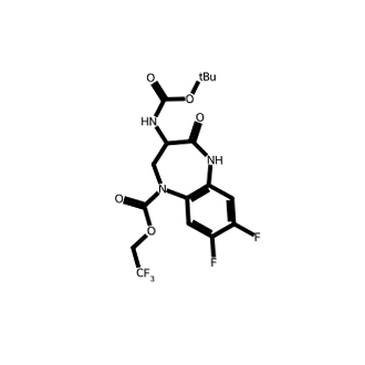 CC(C)(C)OC(=O)NC1CN(C(=O)OCC(F)(F)F)c2cc(F)c(F)cc2NC1=O